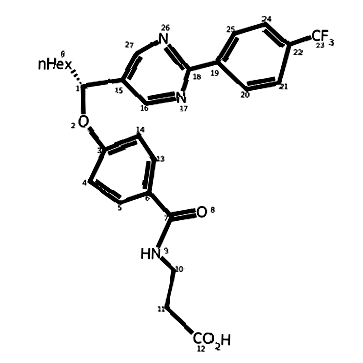 CCCCCC[C@@H](Oc1ccc(C(=O)NCCC(=O)O)cc1)c1cnc(-c2ccc(C(F)(F)F)cc2)nc1